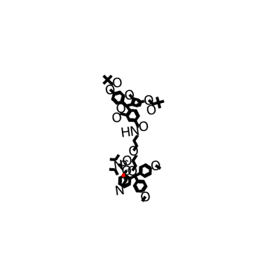 COc1ccc(C(OCC(COCCCNC(=O)c2ccc3c(c2)C(=O)OC32c3ccc(OC(=O)C(C)(C)C)cc3Oc3cc(OC(=O)C(C)(C)C)ccc32)OP(OCCC#N)N(C(C)C)C(C)C)(c2ccccc2)c2ccc(OC)cc2)cc1